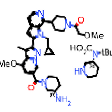 CC(C)(C)N(C(=O)O)[C@@H]1CCCNC1.COCC(=O)N1CCC(c2nccc3cc(-c4nn5cc(C(=O)N6CCC[C@@H](N)C6)cc(OC)c5c4C)n(CC4CC4)c23)CC1